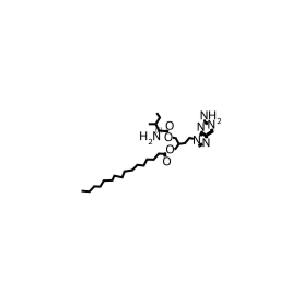 CCCCCCCCCCCCCCCC(=O)OCC(CCn1cnc2cnc(N)nc21)COC(=O)[C@@H](N)C(C)CC